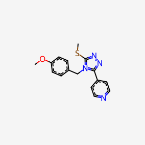 COc1ccc(Cn2c(SC)nnc2-c2ccncc2)cc1